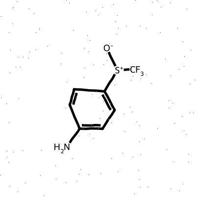 Nc1ccc([S+]([O-])C(F)(F)F)cc1